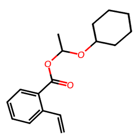 C=Cc1ccccc1C(=O)OC(C)OC1CCCCC1